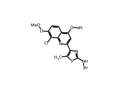 COOc1ccc2c(OC(C)C)cc(-c3nc(NC(C)C)sc3C)nc2c1Cl